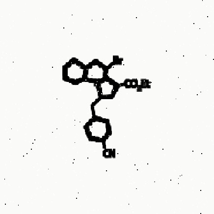 CCOC(=O)c1cc(Cc2ccc(C#N)cc2)n2c1c(Br)cc1ccccc12